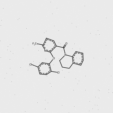 O=C(c1ccc(C(F)(F)F)nc1Oc1cc(Cl)ccc1Cl)N1CCCc2ccccc21